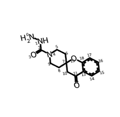 NNC(=O)N1CCC2(CC1)CC(=O)c1ccccc1O2